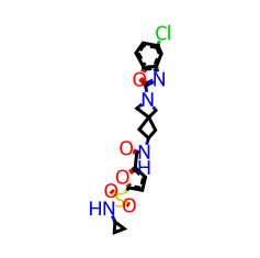 O=C(NC1CC2(C1)CN(c1nc3cc(Cl)ccc3o1)C2)c1ccc(S(=O)(=O)NC2CC2)o1